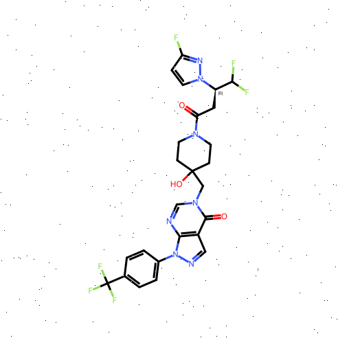 O=C(C[C@H](C(F)F)n1ccc(F)n1)N1CCC(O)(Cn2cnc3c(cnn3-c3ccc(C(F)(F)F)cc3)c2=O)CC1